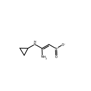 NC(=C[N+](=O)[O-])NC1CC1